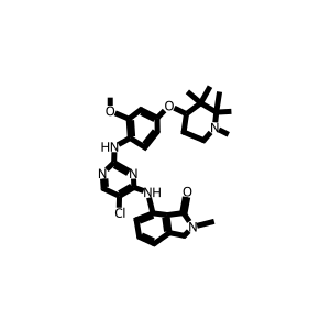 COc1cc(OC2CCN(C)C(C)(C)C2(C)C)ccc1Nc1ncc(Cl)c(Nc2cccc3c2C(=O)N(C)C3)n1